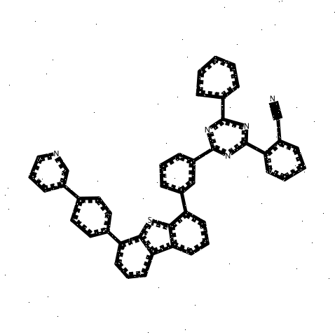 N#Cc1ccccc1-c1nc(-c2ccccc2)nc(-c2cccc(-c3cccc4c3sc3c(-c5ccc(-c6cccnc6)cc5)cccc34)c2)n1